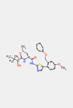 CCC[C@H](NC(=O)[C@@H](O)C(C)(C)C)C(=O)Nc1ncc(-c2ccc(OC)cc2COc2ccccc2)s1